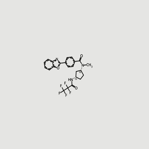 CN(C(=O)c1ccc(-c2nc3ccccc3o2)cc1)[C@@H]1CC[C@H](NC(=O)C(F)(F)C(F)(F)F)C1